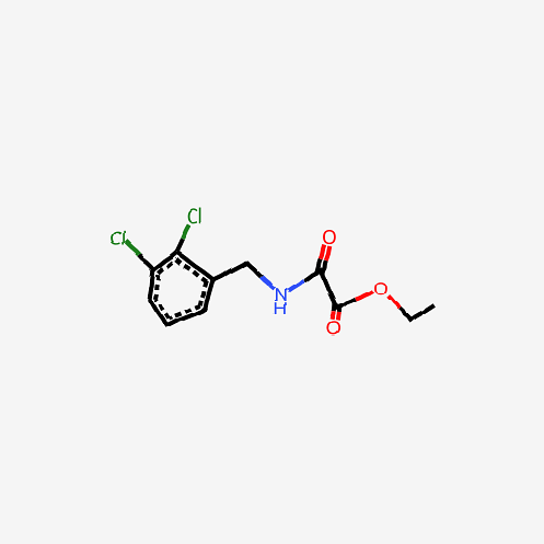 CCOC(=O)C(=O)NCc1cccc(Cl)c1Cl